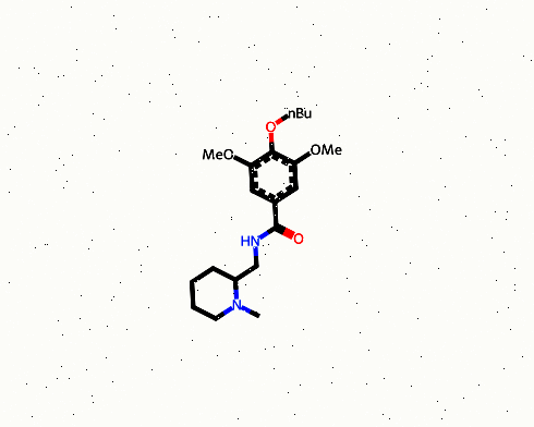 CCCCOc1c(OC)cc(C(=O)NCC2CCCCN2C)cc1OC